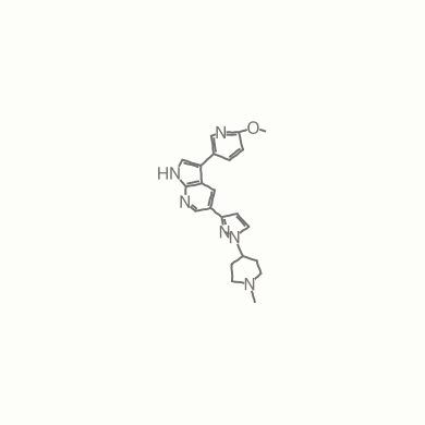 COc1ccc(-c2c[nH]c3ncc(-c4ccn(C5CCN(C)CC5)n4)cc23)cn1